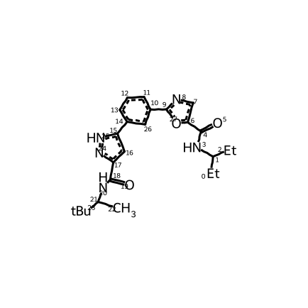 CCC(CC)NC(=O)c1cnc(-c2cccc(-c3cc(C(=O)NC(C)C(C)(C)C)n[nH]3)c2)o1